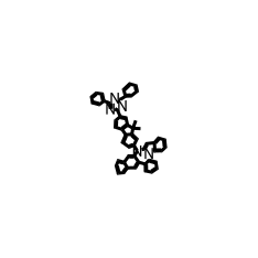 CC1(C)c2cc(-c3nc(-c4ccccc4)nc(-c4ccccc4)n3)ccc2-c2ccc(N3c4cc5ccccc5cc4-c4ccccc4-n4c3cc3ccccc34)cc21